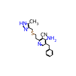 Cc1[nH]cnc1CSCCc1ncc(Cc2ccccc2)c(N)c1C#N